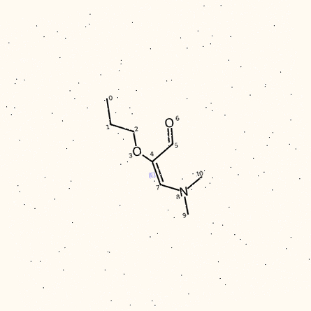 CCCO/C(C=O)=C/N(C)C